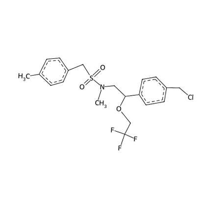 Cc1ccc(CS(=O)(=O)N(C)CC(OCC(F)(F)F)c2ccc(CCl)cc2)cc1